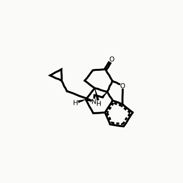 O=C1CC[C@H]2[C@H]3Cc4cccc5c4[C@@]2(CCN3CC2CC2)C1O5